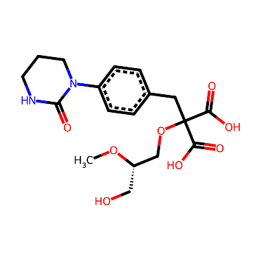 CO[C@@H](CO)COC(Cc1ccc(N2CCCNC2=O)cc1)(C(=O)O)C(=O)O